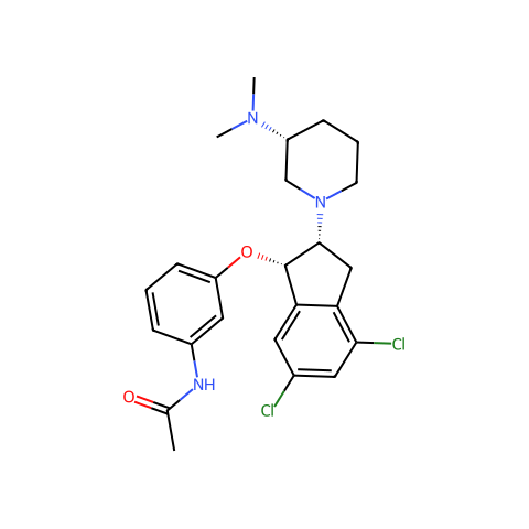 CC(=O)Nc1cccc(O[C@H]2c3cc(Cl)cc(Cl)c3C[C@H]2N2CCC[C@@H](N(C)C)C2)c1